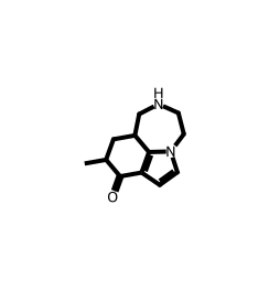 CC1CC2CNCCn3ccc(c32)C1=O